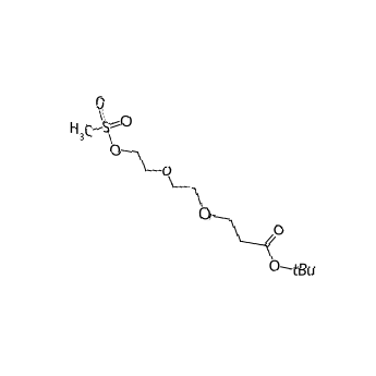 CC(C)(C)OC(=O)CCOCCOCCOS(C)(=O)=O